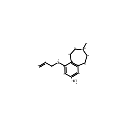 C=CCSc1cccc2c1CCN(C)CC2.Cl